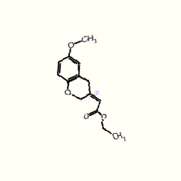 CCOC(=O)/C=C1\COc2ccc(OC)cc2C1